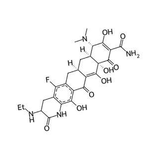 CCNC1Cc2c(F)c3c(c(O)c2NC1=O)C(=O)C1=C(O)[C@]2(O)C(=O)C(C(N)=O)=C(O)[C@@H](N(C)C)[C@@H]2C[C@@H]1C3